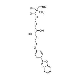 CC(C)(C)CC(C)(C(=O)OCCCC(O)C(O)CCCOc1ccc(-c2cc3ccccc3o2)cc1)C(C)(C)C